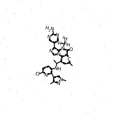 [2H]C([2H])([2H])n1c(=O)c2cc(C)cc(C(C)Nc3ccc(Cl)nc3-c3cn(C)nc3C)c2n2cnc(-c3cnc(N)nc3)c12